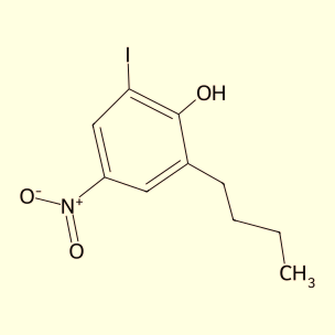 CCCCc1cc([N+](=O)[O-])cc(I)c1O